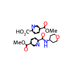 COC(=O)c1ccc(C(=O)NC2CCOCC2)nc1.COC(=O)c1ccc(C(=O)O)nc1